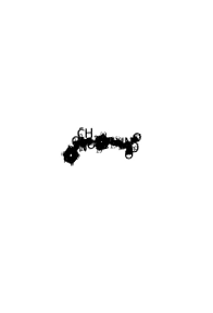 Cc1oc(-c2ccccc2)nc1COc1ccc(CCCCC2NC(=O)OC2=O)cc1